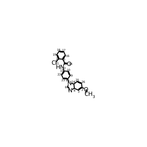 COC1=CC2N=CN(c3ccc(NC(=O)c4ccccc4Cl)cc3)C2C=C1